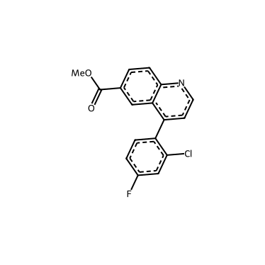 COC(=O)c1ccc2nccc(-c3ccc(F)cc3Cl)c2c1